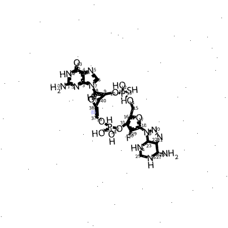 Nc1nc2c(ncn2C2=C3O[PH](O)(S)OCc4oc(N5N=NC6C5NCN[C@H]6N)c(F)c4O[PH](O)(O)O/C=C(/O2)[C@H]3F)c(=O)[nH]1